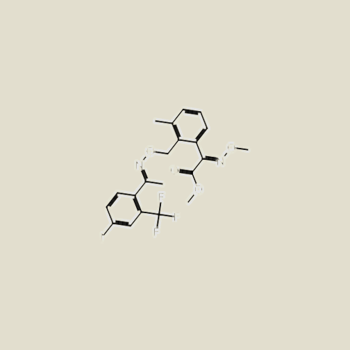 CO/N=C(/C(=O)OC)c1cccc(C)c1CO/N=C(\C)c1ccc(I)cc1C(F)(F)F